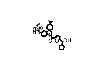 CCS(=O)(=O)Nc1ccc2c(c1)C1(CCC3(CC3)CC1)CN2C(=O)c1ccc([C@@H](O)C2CCCC2)o1